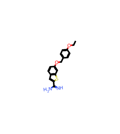 CCOc1ccc(COc2ccc3cc(C(=N)N)sc3c2)cc1